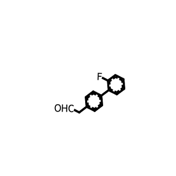 O=CCc1ccc(-c2ccccc2F)cc1